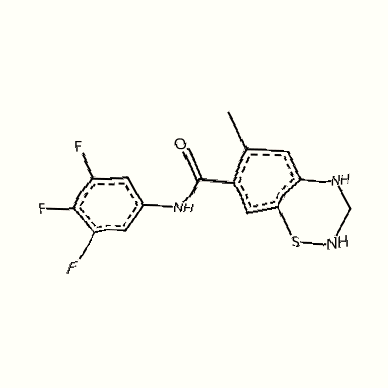 Cc1cc2c(cc1C(=O)Nc1cc(F)c(F)c(F)c1)SNCN2